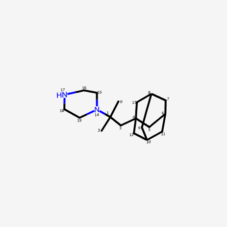 CC(C)(CC12CC3CC(CC(C3)C1)C2)N1CCNCC1